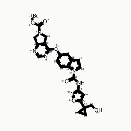 CC(C)(C)OC(=O)N1Cc2ncnc(Oc3ccc4c(ccn4C(=O)Nc4cc(C5(CO)CC5)on4)c3)c2C1